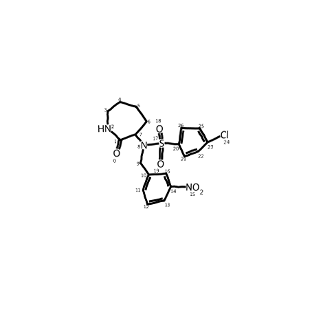 O=C1NCCCCC1N(Cc1cccc([N+](=O)[O-])c1)S(=O)(=O)c1ccc(Cl)cc1